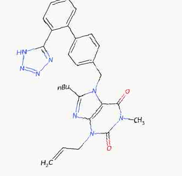 C=CCn1c(=O)n(C)c(=O)c2c1nc(CCCC)n2Cc1ccc(-c2ccccc2-c2nnn[nH]2)cc1